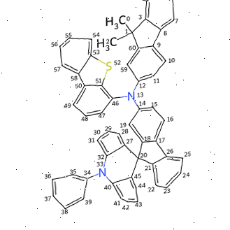 CC1(C)c2ccccc2-c2ccc(N(c3ccc4c(c3)C3(c5ccccc5-4)c4ccccc4N(c4ccccc4)c4ccccc43)c3cccc4c3sc3ccccc34)cc21